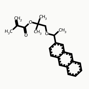 C=C(C)C(=O)OC(C)(C)COC(C)c1ccc2cc3ccccc3cc2c1